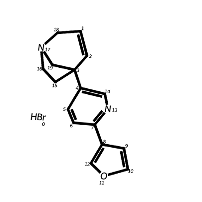 Br.C1=CC2(c3ccc(-c4ccoc4)nc3)CCN(C1)C2